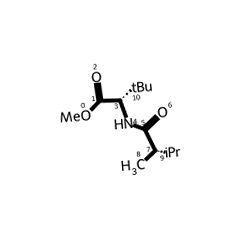 COC(=O)[C@@H](NC(=O)[C@@H](C)C(C)C)C(C)(C)C